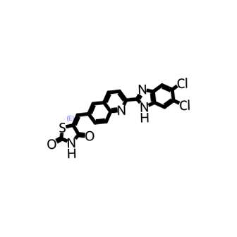 O=C1NC(=O)/C(=C\c2ccc3nc(-c4nc5cc(Cl)c(Cl)cc5[nH]4)ccc3c2)S1